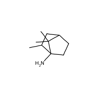 CC1CC2CCC1(N)C2(C)C